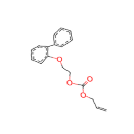 C=CCOC(=O)OCCOc1ccccc1-c1ccccc1